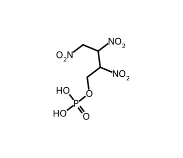 O=[N+]([O-])CC(C(COP(=O)(O)O)[N+](=O)[O-])[N+](=O)[O-]